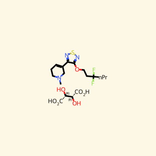 CCCC(F)(F)CCOc1nsnc1C1=CCCN(C)C1.O=C(O)[C@H](O)[C@@H](O)C(=O)O